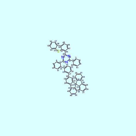 c1ccc(-c2nc(-c3ccccc3-c3cccc(-c4ccc5c(c4)C4(c6ccccc6-c6ccccc64)c4ccccc4-5)c3)nc(-c3cccc4c3sc3ccccc34)n2)cc1